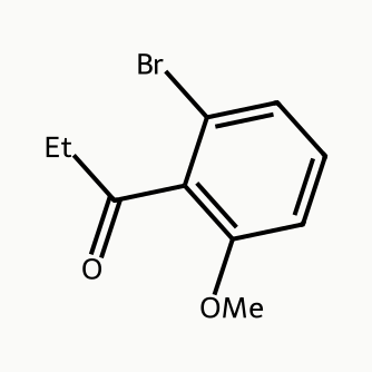 CCC(=O)c1c(Br)cccc1OC